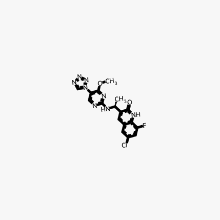 COc1nc(N[C@@H](C)c2cc3cc(Cl)cc(F)c3[nH]c2=O)ncc1-n1cnnn1